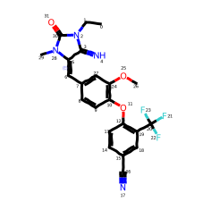 CCN1C(=N)/C(=C\c2ccc(Oc3ccc(C#N)cc3C(F)(F)F)c(OC)c2)N(C)C1=O